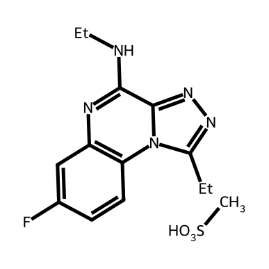 CCNc1nc2cc(F)ccc2n2c(CC)nnc12.CS(=O)(=O)O